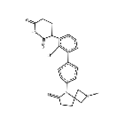 CN1CC2(CCC(=O)N2c2ccc(-c3cccc(C4CCC(=O)NC4=O)c3Cl)cc2)C1